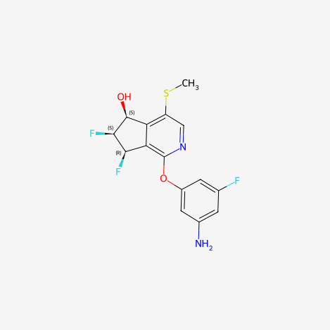 CSc1cnc(Oc2cc(N)cc(F)c2)c2c1[C@H](O)[C@H](F)[C@@H]2F